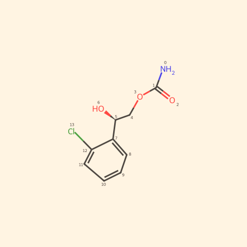 NC(=O)OC[C@H](O)c1ccccc1Cl